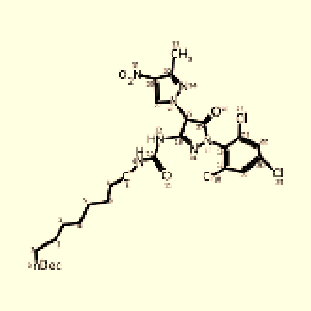 CCCCCCCCCCCCCCCCCCNC(=O)NC1=NN(c2c(Cl)cc(Cl)cc2Cl)C(=O)C1n1cc([N+](=O)[O-])c(C)n1